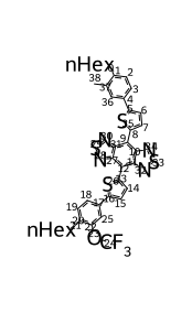 CCCCCCc1ccc(-c2ccc(-c3c4c(c(-c5ccc(-c6ccc(CCCCCC)c(OC(F)(F)F)c6)s5)c5nsnc35)N=S=N4)s2)cc1C